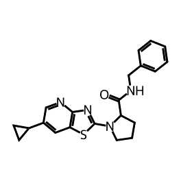 O=C(NCc1ccccc1)C1CCCN1c1nc2ncc(C3CC3)cc2s1